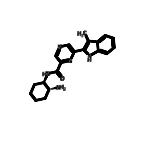 Cc1c(-c2cncc(C(=O)N[C@@H]3CCCC[C@H]3N)n2)[nH]c2ccccc12